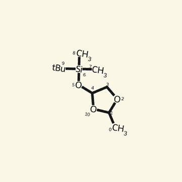 CC1OCC(O[Si](C)(C)C(C)(C)C)O1